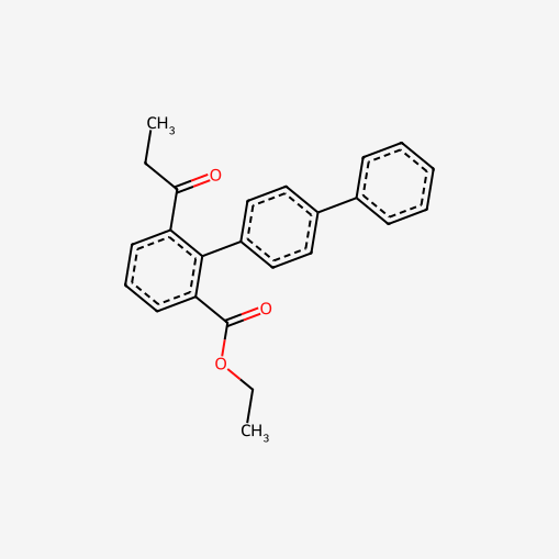 CCOC(=O)c1cccc(C(=O)CC)c1-c1ccc(-c2ccccc2)cc1